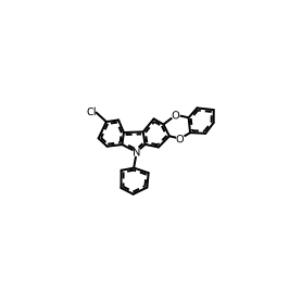 Clc1ccc2c(c1)c1cc3c(cc1n2-c1ccccc1)Oc1ccccc1O3